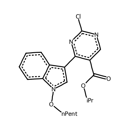 CCCCCOn1cc(-c2nc(Cl)ncc2C(=O)OC(C)C)c2ccccc21